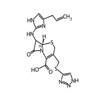 C=CCc1c[nH]c(NC2C(=O)N3C(C(=O)O)=C(CSc4c[nH]nn4)CS[C@@H]23)n1